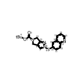 CC(C)(C)OC(=O)N1Cc2cn(Sc3ccc4ncccc4c3)nc2C1